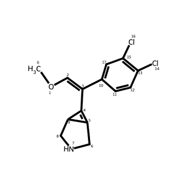 CO/C=C(\C1=C2CNCC21)c1ccc(Cl)c(Cl)c1